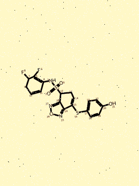 O=S(=O)(NC1=C(F)C(F)CC=C1)C1CC=C(Sc2ccc(O)cc2)c2nonc21